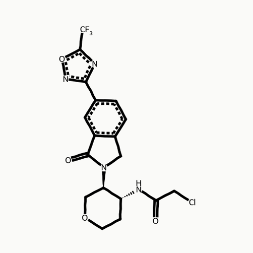 O=C(CCl)N[C@@H]1CCOC[C@H]1N1Cc2ccc(-c3noc(C(F)(F)F)n3)cc2C1=O